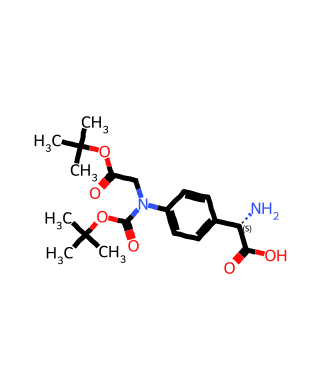 CC(C)(C)OC(=O)CN(C(=O)OC(C)(C)C)c1ccc([C@H](N)C(=O)O)cc1